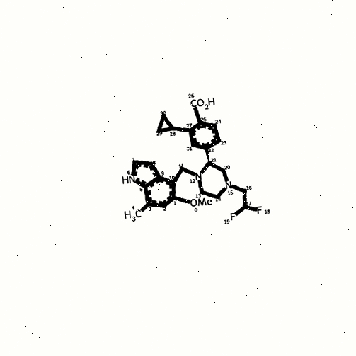 COc1cc(C)c2[nH]ccc2c1CN1CCN(CC(F)F)C[C@@H]1c1ccc(C(=O)O)c(C2CC2)c1